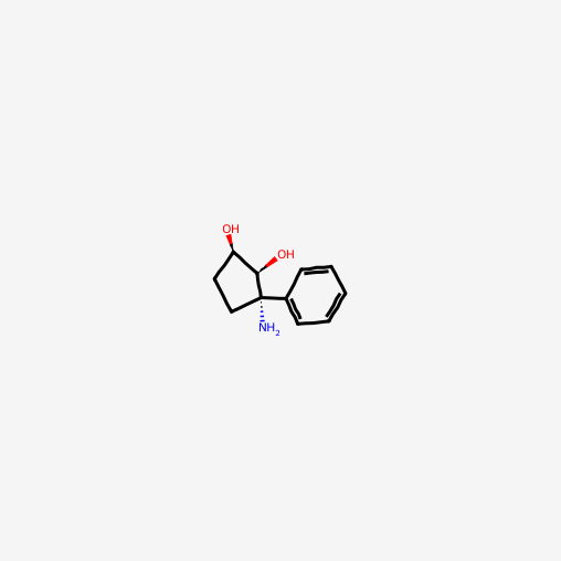 N[C@]1(c2ccccc2)CC[C@@H](O)[C@H]1O